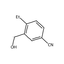 CCc1ccc(C#N)cc1[CH]O